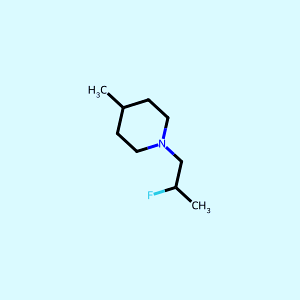 CC(F)CN1CCC(C)CC1